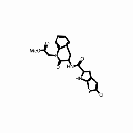 COC(=O)CN1C(=O)C(NC(=O)C2Cc3cc(Cl)sc3N2)Cc2ccccc21